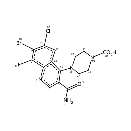 NC(=O)c1cnc2c(F)c(Br)c(Cl)cc2c1N1CCN(C(=O)O)CC1